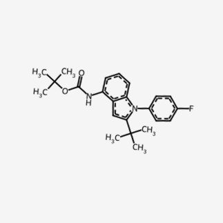 CC(C)(C)OC(=O)Nc1cccc2c1cc(C(C)(C)C)n2-c1ccc(F)cc1